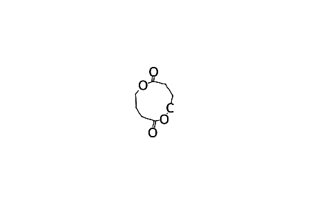 O=C1CCCOC(=O)CCCO1